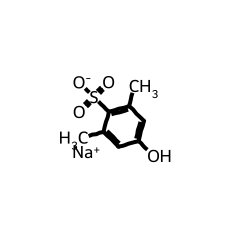 Cc1cc(O)cc(C)c1S(=O)(=O)[O-].[Na+]